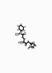 CCN(C(=O)CCC(S)C(C)Cc1nnnn1C)C1CCCCC1